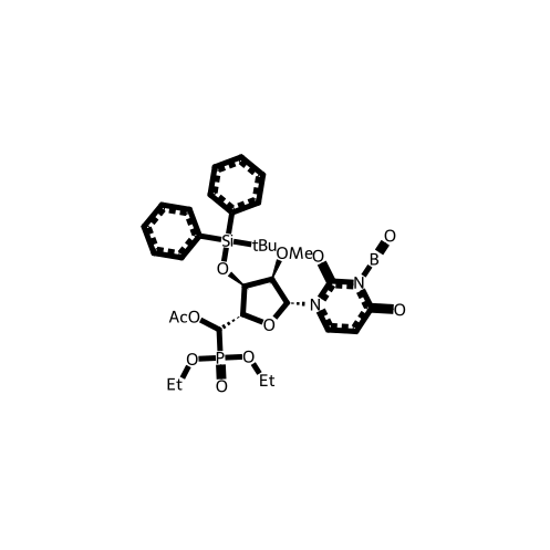 CCOP(=O)(OCC)C(OC(C)=O)[C@H]1O[C@@H](n2ccc(=O)n(B=O)c2=O)[C@H](OC)[C@@H]1O[Si](c1ccccc1)(c1ccccc1)C(C)(C)C